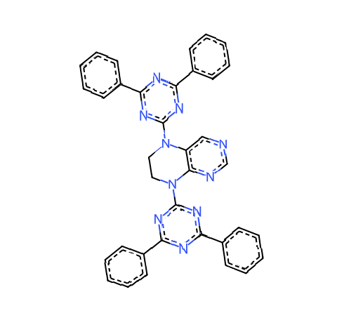 c1ccc(-c2nc(-c3ccccc3)nc(N3CCN(c4nc(-c5ccccc5)nc(-c5ccccc5)n4)c4ncncc43)n2)cc1